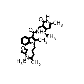 C=C(CCCn1c(C)c(C(=O)NCc2c(SC)cc(C)[nH]c2=O)c2ccccc21)N(C)C1COC1